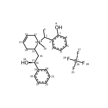 CC(c1ccccc1O)[N+]1(C)CC=CCC1C[C@H](O)c1ccccc1.F[B-](F)(F)F